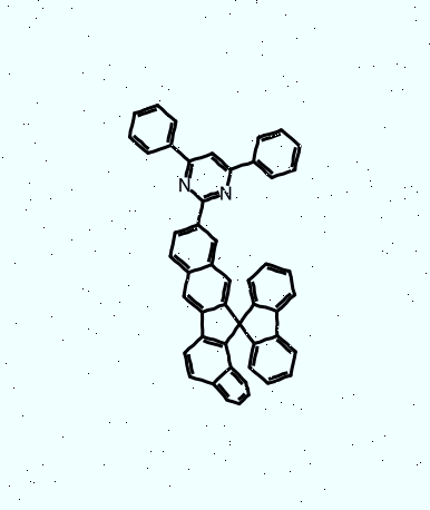 c1ccc(-c2cc(-c3ccccc3)nc(-c3ccc4cc5c(cc4c3)C3(c4ccccc4-c4ccccc43)c3c-5ccc4ccccc34)n2)cc1